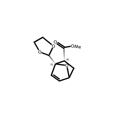 COC(=O)[C@@H]1CC2C=C[C@]1(C1OCCO1)O2